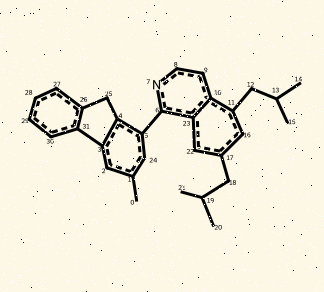 Cc1cc2c(c(-c3nccc4c(CC(C)C)cc(CC(C)C)cc34)c1)Cc1ccccc1-2